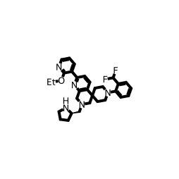 CCOc1ncccc1-c1ccc2c(n1)CN(C[C@H]1CCCN1)CC21CCN(c2ccccc2C(F)F)CC1